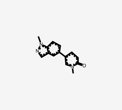 Cn1cc(-c2ccc3c(cnn3C)c2)ccc1=O